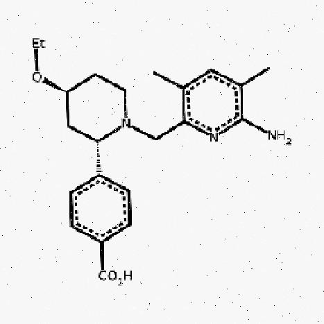 CCO[C@H]1CCN(Cc2nc(N)c(C)cc2C)[C@H](c2ccc(C(=O)O)cc2)C1